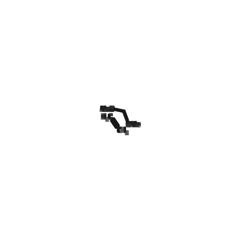 C=C.COCOC